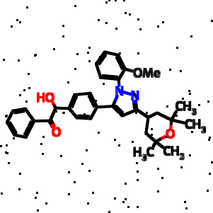 COc1ccccc1-n1nc(C2CC(C)(C)OC(C)(C)C2)cc1-c1ccc(C(O)C(=O)c2ccccc2)cc1